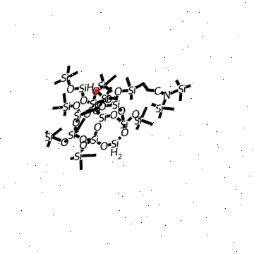 C[Si](C)(C)O[SiH2]O[Si]1(O[Si](C)(C)C)O[Si]2(O[Si](C)(C)C)O[Si]3(O[Si](C)(C)C)O[SiH2]O[Si]4(O[Si](C)(C)C)O[Si](O[Si](C)(C)C)(O3)O[Si](O[Si](C)(C)C)(O2)O[Si](O[Si](C)(C)CCCN([Si](C)(C)C)[Si](C)(C)C)(O1)O4